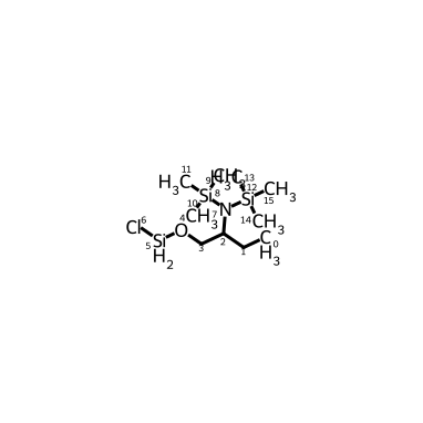 CCC(CO[SiH2]Cl)N([Si](C)(C)C)[Si](C)(C)C